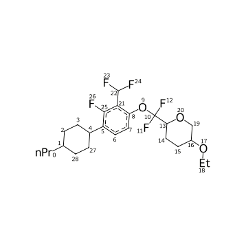 CCCC1CCC(c2ccc(OC(F)(F)C3CCC(OCC)CO3)c(C(F)F)c2F)CC1